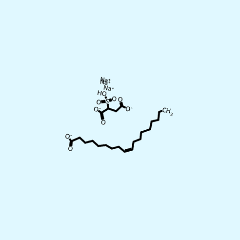 CCCCCCCC/C=C\CCCCCCCC(=O)[O-].O=C([O-])CC(C(=O)[O-])S(=O)(=O)O.[Na+].[Na+].[Na+]